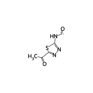 CC(=O)c1nnc(N[C]=O)s1